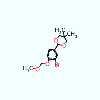 COCOc1ccc(C2OCC(C)(C)CO2)cc1Br